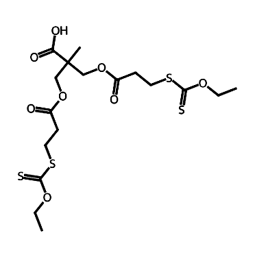 CCOC(=S)SCCC(=O)OCC(C)(COC(=O)CCSC(=S)OCC)C(=O)O